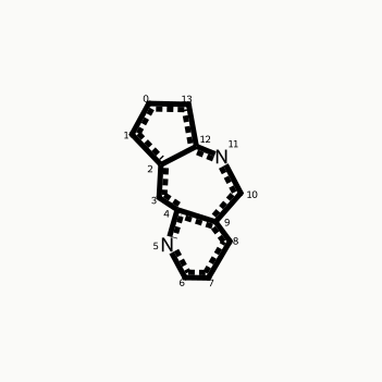 c1cc2cc3ncccc3cnc-2c1